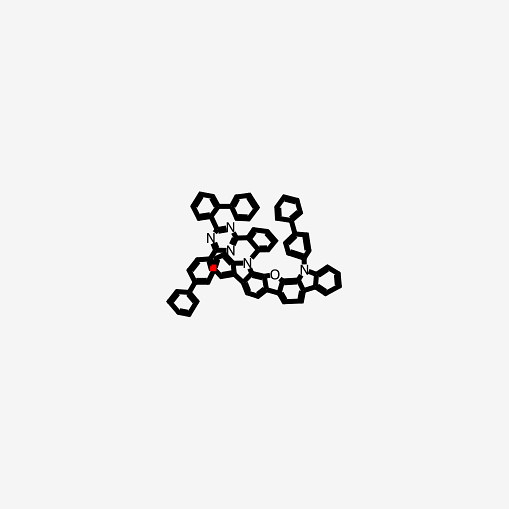 c1ccc(-c2ccc(-c3nc(-c4ccccc4-c4ccccc4)nc(-c4ccccc4-n4c5ccccc5c5ccc6c7ccc8c9ccccc9n(-c9ccc(-c%10ccccc%10)cc9)c8c7oc6c54)n3)cc2)cc1